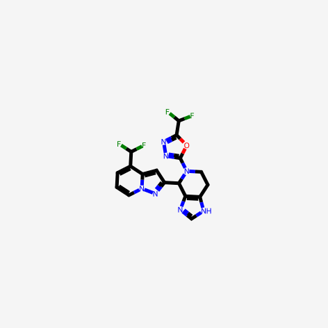 FC(F)c1nnc(N2CCc3[nH]cnc3C2c2cc3c(C(F)F)cccn3n2)o1